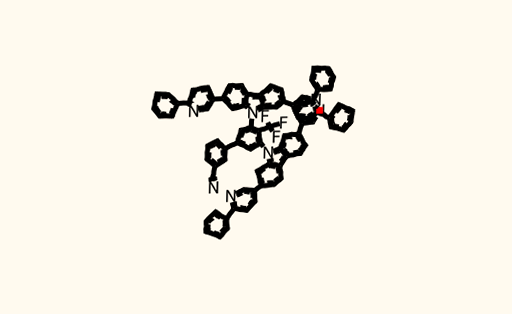 N#Cc1cccc(-c2cc(-n3c4cc(-c5ccc(-c6ccccc6)nc5)ccc4c4ccc(-c5ccc(-c6ccccc6)nc5)cc43)c(C(F)(F)F)c(-n3c4cc(-c5ccc(-c6ccccc6)nc5)ccc4c4ccc(-c5ccc(-c6ccccc6)nc5)cc43)c2)c1